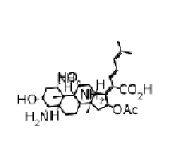 CC(=O)O[C@H]1C[C@@]2(C)[C@@H](C[C@@H](O)[C@H]3[C@@]4(C)[C@@H](N)C[C@@H](O)[C@@H](N)[C@@H]4CC[C@@]32N)/C1=C(\C=C\C=C(C)C)C(=O)O